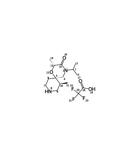 CC(C)N1C[C@]2(CCNC[C@@H]2C)O[C@H](C)C1=O.O=C(O)C(F)(F)F